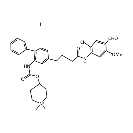 COc1cc(NC(=O)CCCc2ccc(-c3ccccc3)c(NC(=O)OC3CC[N+](C)(C)CC3)c2)c(Cl)cc1C=O.[I-]